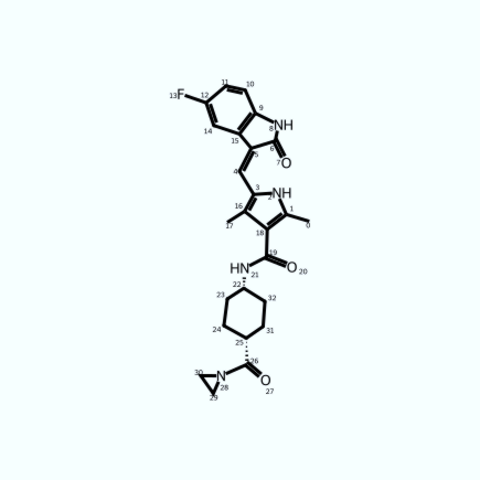 Cc1[nH]c(/C=C2\C(=O)Nc3ccc(F)cc32)c(C)c1C(=O)N[C@H]1CC[C@@H](C(=O)N2CC2)CC1